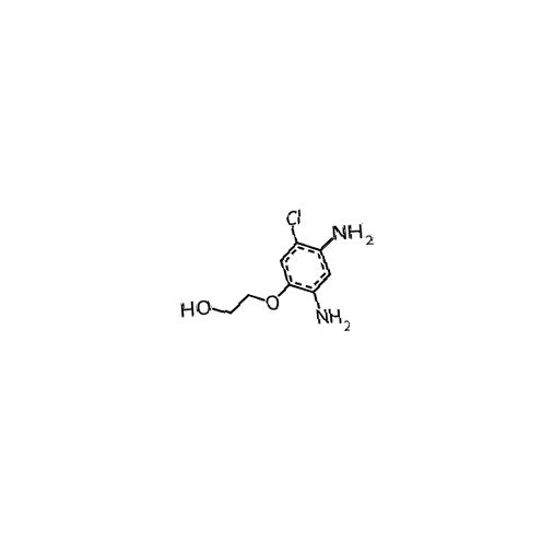 Nc1cc(N)c(OCCO)cc1Cl